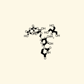 NC(CO)(CO)CO.O=c1ccn([C@@H]2O[C@H](COP(=O)(O)OP(=O)(O)OP(=O)(O)O)[C@@H](O)[C@H]2O)c(=O)[nH]1